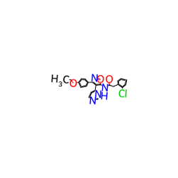 CCOc1ccc(-c2noc(NC(=O)Cc3ccccc3Cl)c2-c2ccncn2)cc1